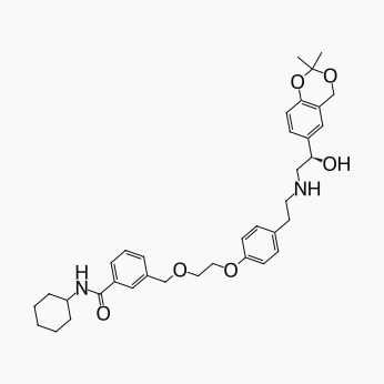 CC1(C)OCc2cc([C@@H](O)CNCCc3ccc(OCCOCc4cccc(C(=O)NC5CCCCC5)c4)cc3)ccc2O1